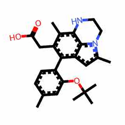 Cc1ccc(-c2c(CC(=O)O)c(C)c3c4c2cc(C)n4CCN3)c(OC(C)(C)C)c1